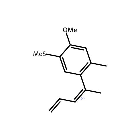 C=C/C=C(/C)c1cc(SC)c(OC)cc1C